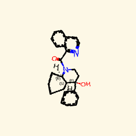 O=C(c1nccc2ccccc12)N1CC[C@](O)(c2ccccc2)[C@H]2CCCC[C@H]21